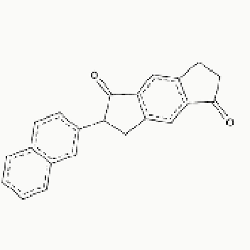 O=C1CCc2cc3c(cc21)CC(c1ccc2ccccc2c1)C3=O